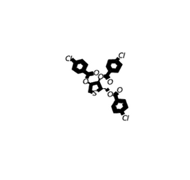 O=C(OC[C@@H]1SC[C@@H](OC(=O)c2ccc(Cl)cc2)[C@H]1OC(=O)c1ccc(Cl)cc1)c1ccc(Cl)cc1